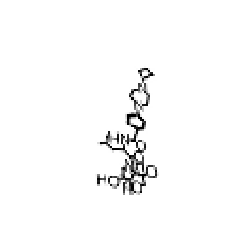 CC(C)CC(NC(=O)c1ccc(N2CCN(C3CCC3)CC2)cc1)C(=O)N1C[C@H](O)[C@H]2OCC(=O)[C@H]21